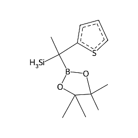 CC([SiH3])(B1OC(C)(C)C(C)(C)O1)c1cccs1